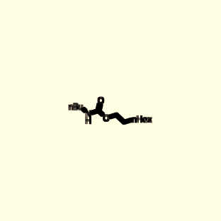 CCCCCCCCOC(=O)NCCCC